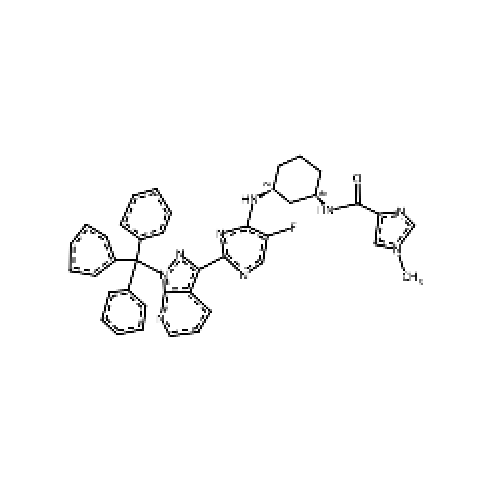 Cn1cnc(C(=O)N[C@@H]2CCC[C@H](Nc3nc(-c4nn(C(c5ccccc5)(c5ccccc5)c5ccccc5)c5ncccc45)ncc3F)C2)c1